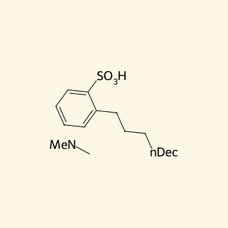 CCCCCCCCCCCCCc1ccccc1S(=O)(=O)O.CNC